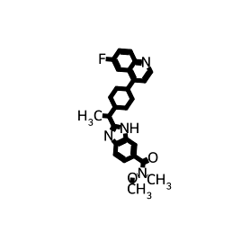 CON(C)C(=O)c1ccc2nc(C(C)C3CCC(c4ccnc5ccc(F)cc45)CC3)[nH]c2c1